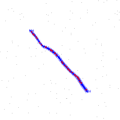 N=N/N=N/N=N/N=N/N=N/N=N/N=N/N=N/N=N/N=N/N=N/N=N/N=N/N=N/N=N/N=N/N=N/N=N/N=N/N=N/N=N/N=N/N=N/N=N/N=N/N=N/N=N/N=N/N=N/N=N/N=N/N=N/N=N/N=N/N=N/N=N/N=N/N=N/N=N/N=N/N=N/N=N/N=N/N=N/N=N/N=N/N=N/N=N/N=N/N=N/N=N/N=N